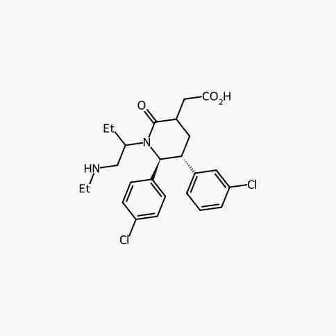 CCNCC(CC)N1C(=O)C(CC(=O)O)C[C@H](c2cccc(Cl)c2)[C@H]1c1ccc(Cl)cc1